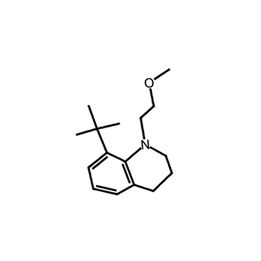 COCCN1CCCc2cccc(C(C)(C)C)c21